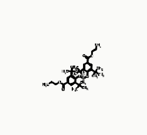 CCCOC(=O)c1cc(C(C)(C)C)c(OP(Cl)Oc2c(C(C)(C)C)cc(C(=O)OCCC)cc2C(C)(C)C)c(C(C)(C)C)c1